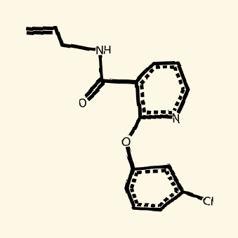 C=CCNC(=O)c1cccnc1Oc1cccc(Cl)c1